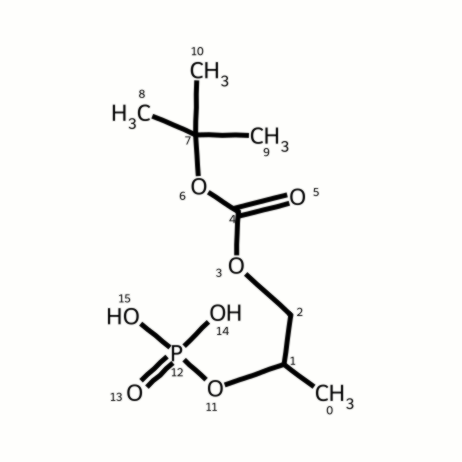 CC(COC(=O)OC(C)(C)C)OP(=O)(O)O